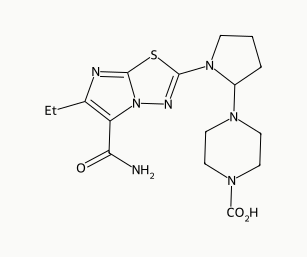 CCc1nc2sc(N3CCCC3N3CCN(C(=O)O)CC3)nn2c1C(N)=O